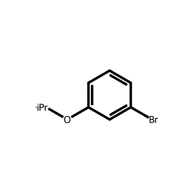 C[C](C)Oc1cccc(Br)c1